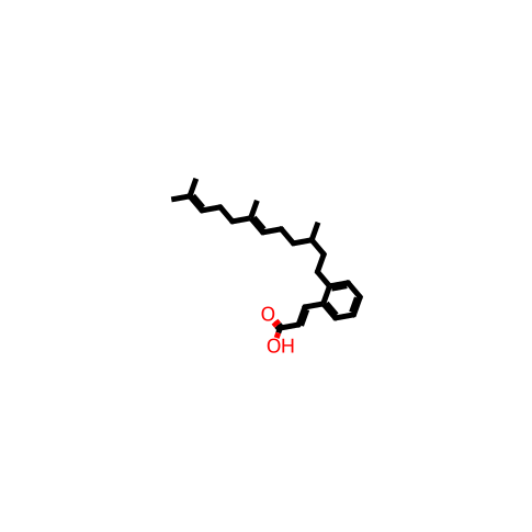 CC(C)=CCC/C(C)=C/CCC(C)CCc1ccccc1/C=C/C(=O)O